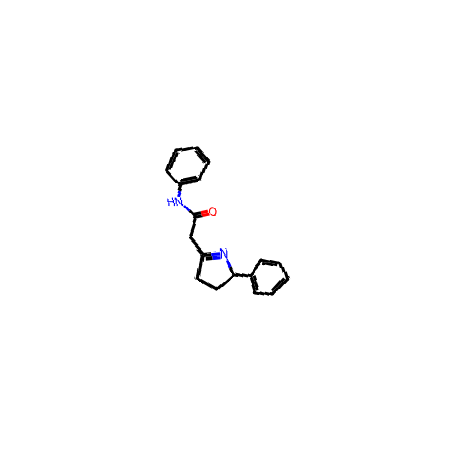 O=C(CC1=NC(c2ccccc2)CC1)Nc1ccccc1